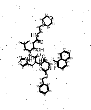 CC(C)CC(NC(=O)[C@H](Cc1cscn1)NC(=O)[C@H](Cc1cccc2ccccc12)NC(=O)OCc1ccccc1)C(O)CC(=O)NCCN1CCOCC1